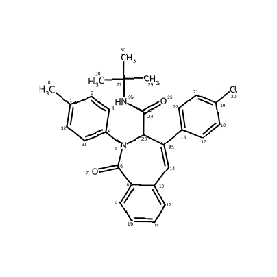 Cc1ccc(N2C(=O)c3ccccc3C=C(c3ccc(Cl)cc3)C2C(=O)NC(C)(C)C)cc1